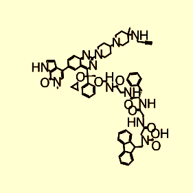 C#CCNC1(C)CCN(C2CCN(c3nc([C@@](COCNC(=O)CNC(=O)[C@H](Cc4ccccc4)NC(=O)CNC(=O)CN(CC4c5ccccc5-c5ccccc54)C(=O)O)(OC4CC4)c4ccccc4)c4cc(-c5cn(C)c(=O)c6[nH]ccc56)ccc4n3)CC2)CC1